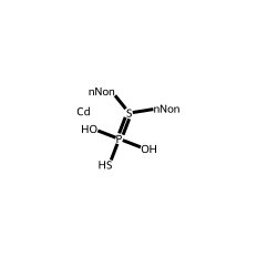 CCCCCCCCCS(CCCCCCCCC)=P(O)(O)S.[Cd]